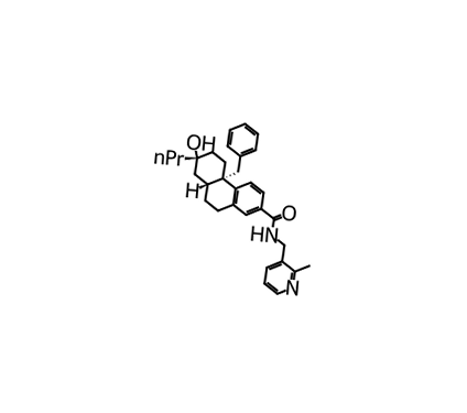 CCC[C@@]1(O)CC[C@@]2(Cc3ccccc3)c3ccc(C(=O)NCc4cccnc4C)cc3CC[C@@H]2C1